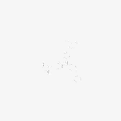 C=C(C)C(=O)OCc1ccc(N(c2ccc(COC(O)C(=C)C)cc2)c2ccc(Oc3ccccc3)cc2)cc1